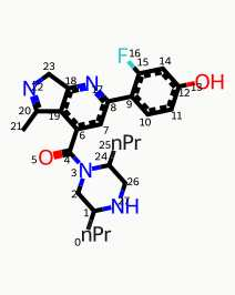 CCCC1CN(C(=O)c2cc(-c3ccc(O)cc3F)nc3c2C(C)=NC3)C(CCC)CN1